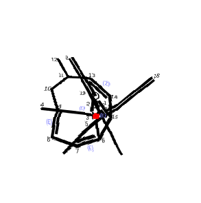 C=C1/C=C(\C)N/C2=C/C=C/CC(C)/C=C\C2=C/C(=C)O1